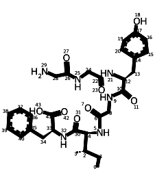 CC[C@H](C)[C@H](NC(=O)CNC(=O)[C@H](Cc1ccc(O)cc1)NC(=O)CNC(=O)CN)C(=O)N[C@@H](Cc1ccccc1)C(=O)O